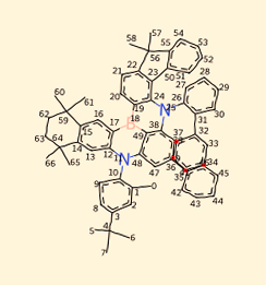 Cc1cc(C(C)(C)C)ccc1N1c2cc3c(cc2B2c4ccc5c(c4N(c4ccccc4-c4ccccc4)c4cc(-c6ccccc6)cc1c42)-c1ccccc1C5(C)C)C(C)(C)CCC3(C)C